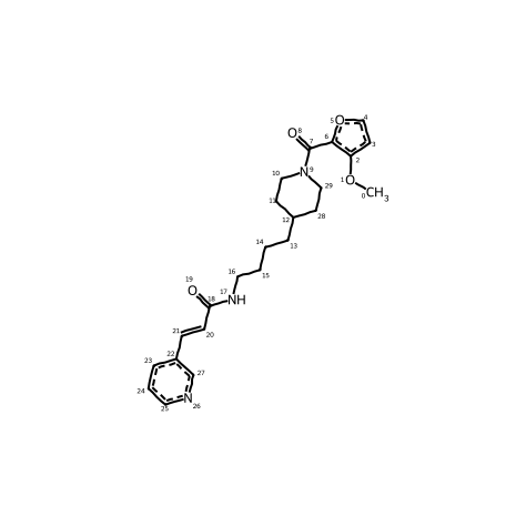 COc1ccoc1C(=O)N1CCC(CCCCNC(=O)/C=C/c2cccnc2)CC1